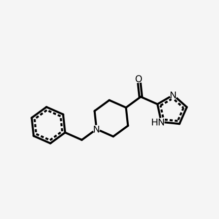 O=C(c1ncc[nH]1)C1CCN(Cc2ccccc2)CC1